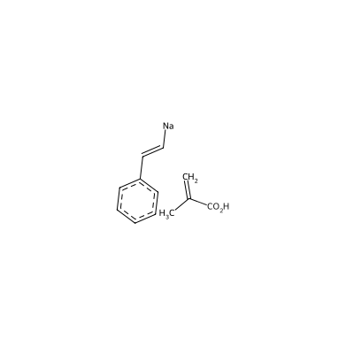 C=C(C)C(=O)O.[Na][CH]=Cc1ccccc1